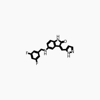 O=C1Nc2ccc(NCc3cc(F)cc(F)c3)cc2C1=Cc1ccn[nH]1